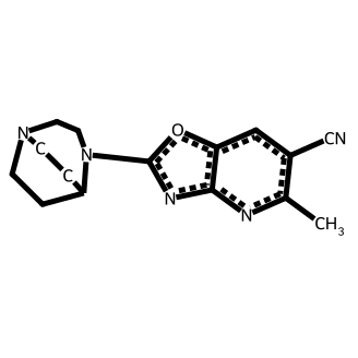 Cc1nc2nc(N3CCN4CCC3CC4)oc2cc1C#N